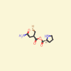 NC(=O)CC(CS)C(=O)OC(=O)[C@@H]1CCCN1